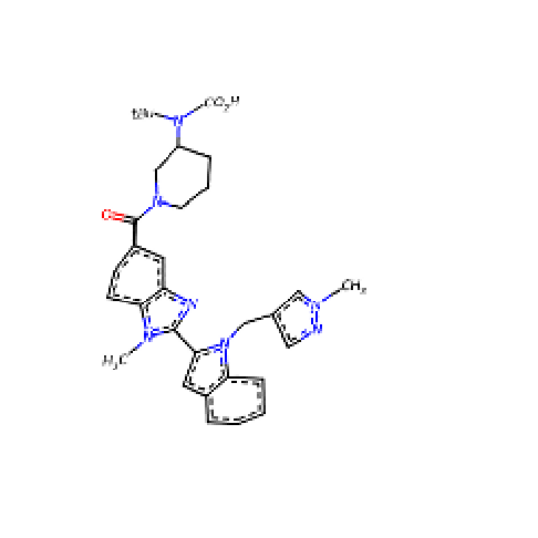 Cn1cc(Cn2c(-c3nc4cc(C(=O)N5CCCC(N(C(=O)O)C(C)(C)C)C5)ccc4n3C)cc3ccccc32)cn1